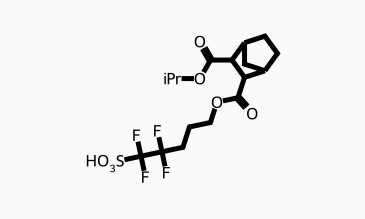 CC(C)OC(=O)C1C2CCC(C2)C1C(=O)OCCCC(F)(F)C(F)(F)S(=O)(=O)O